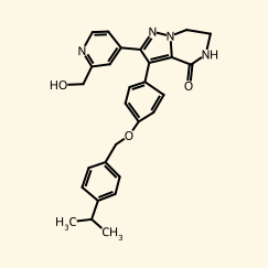 CC(C)c1ccc(COc2ccc(-c3c(-c4ccnc(CO)c4)nn4c3C(=O)NCC4)cc2)cc1